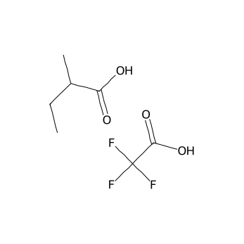 CCC(C)C(=O)O.O=C(O)C(F)(F)F